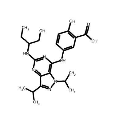 CCC(CO)Nc1nc(Nc2ccc(O)c(C(=O)O)c2)c2c(n1)c(C(C)C)nn2C(C)C